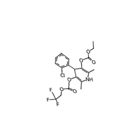 CCOC(=O)OC1=C(C)NC(C)=C(OC(=O)OCC(F)(F)F)C1c1ccccc1Cl